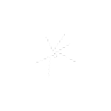 CCCCCCCCCCC(CCCCCCCC)CC1CCCC1(CC(CCCCCCCC)CCCCCCCCCC)CC(CCCCCCCC)CCCCCCCCCC